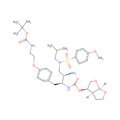 COc1ccc(S(=O)(=O)N(CC(C)C)C[C@@H](N)[C@H](Cc2ccc(OCCNC(=O)OC(C)(C)C)cc2)NC(=O)O[C@H]2CO[C@H]3OCC[C@H]32)cc1